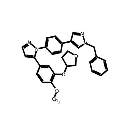 COc1ccc(-c2ccnn2-c2ccc(-c3cnn(Cc4ccccc4)c3)cc2)cc1OC1CCOC1